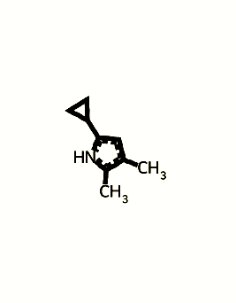 Cc1cc(C2CC2)[nH]c1C